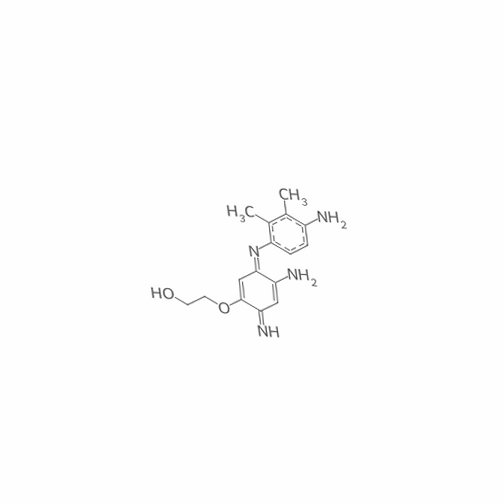 Cc1c(N)ccc(N=C2C=C(OCCO)C(=N)C=C2N)c1C